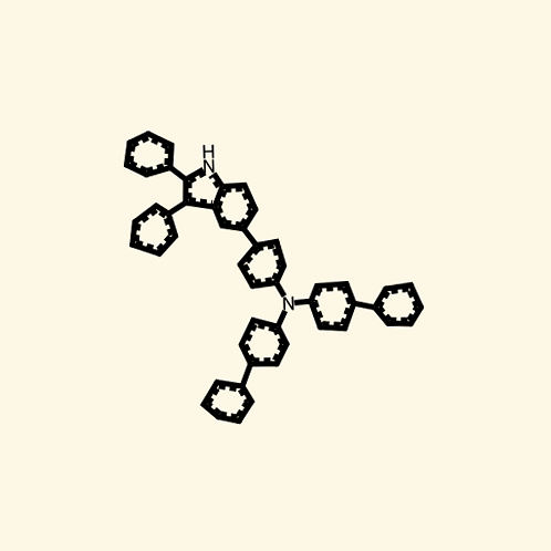 c1ccc(-c2ccc(N(c3ccc(-c4ccccc4)cc3)c3ccc(-c4ccc5[nH]c(-c6ccccc6)c(-c6ccccc6)c5c4)cc3)cc2)cc1